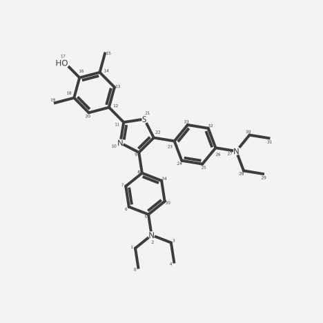 CCN(CC)c1ccc(-c2nc(-c3cc(C)c(O)c(C)c3)sc2-c2ccc(N(CC)CC)cc2)cc1